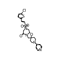 O=C1CN(S(=O)(=O)C=Cc2ccc(Cl)s2)CC2OC3(CCN(c4ccncc4)CC3)CN12